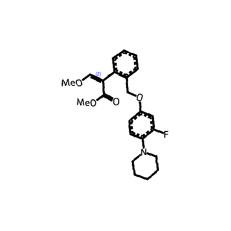 CO/C=C(\C(=O)OC)c1ccccc1COc1ccc(N2CCCCC2)c(F)c1